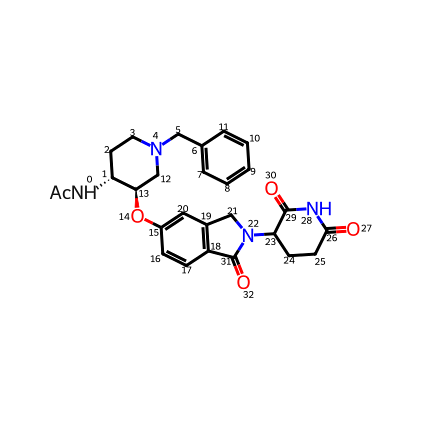 CC(=O)N[C@@H]1CCN(Cc2ccccc2)C[C@H]1Oc1ccc2c(c1)CN(C1CCC(=O)NC1=O)C2=O